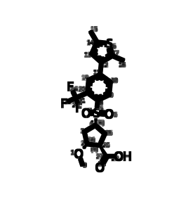 CO[C@@H]1C[C@H](S(=O)(=O)c2ccc(-c3cc(C)sc3C)cc2C(F)(F)F)C[C@H]1C(=O)O